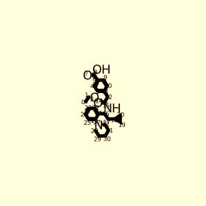 CCOc1cc(C(=O)O)ccc1CC(=O)NC(CC1CC1)c1ccccc1N1CCCCC1